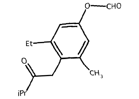 CCc1cc(OC=O)cc(C)c1CC(=O)C(C)C